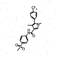 Cc1c(C(=O)Nc2ccc(S(C)(=O)=O)cc2)cn(C)c1-c1ccc(C(F)(F)F)cc1